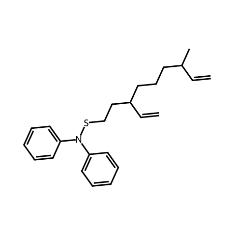 C=CC(C)CCCC(C=C)CCSN(c1ccccc1)c1ccccc1